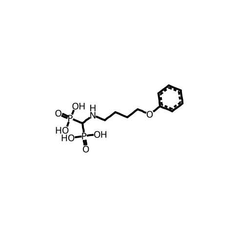 O=P(O)(O)C(NCCCCOc1ccccc1)P(=O)(O)O